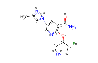 Cc1cn(-c2cnc(O[C@@H]3CCNC[C@H]3F)c(C(N)=O)c2)cn1